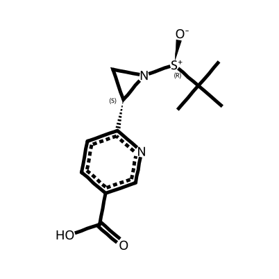 CC(C)(C)[S@+]([O-])N1C[C@H]1c1ccc(C(=O)O)cn1